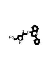 O=C(COc1cc(-c2ccccc2)nc2ccccc12)C1CNC(CO)C1